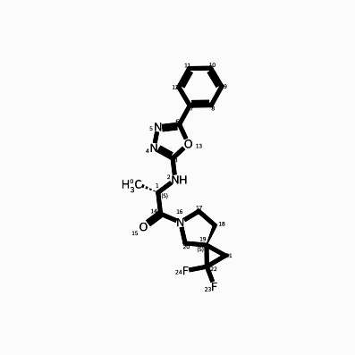 C[C@H](Nc1nnc(-c2ccccc2)o1)C(=O)N1CC[C@@]2(C1)CC2(F)F